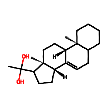 CC(O)(O)C1CC[C@H]2C3=CCC4CCCC[C@]4(C)[C@H]3CC[C@]12C